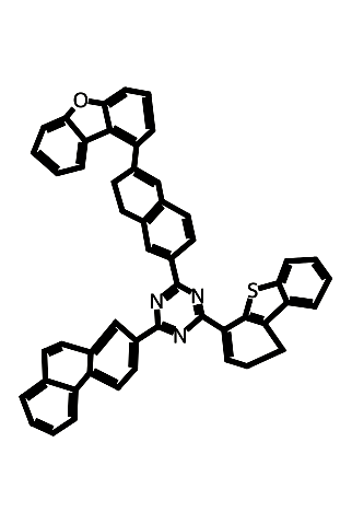 C1=C(c2nc(-c3ccc4c(c3)CCC(c3cccc5oc6ccccc6c35)=C4)nc(-c3ccc4c(ccc5ccccc54)c3)n2)c2sc3ccccc3c2CC1